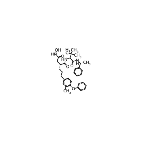 Cc1cc(CCC[C@H](CC(=O)NO)C(=O)N[C@H](C(=O)N[C@H](C)c2ccccc2)C(C)(C)C)ccc1Oc1ccccc1